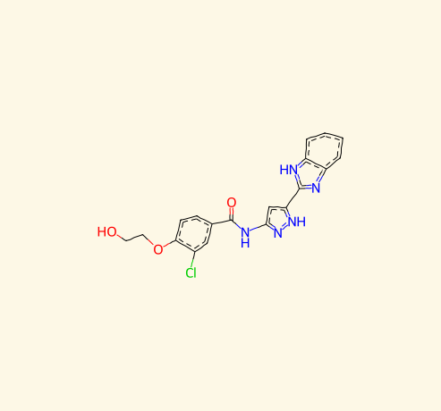 O=C(Nc1cc(-c2nc3ccccc3[nH]2)[nH]n1)c1ccc(OCCO)c(Cl)c1